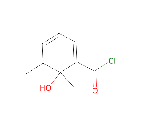 CC1C=CC=C(C(=O)Cl)C1(C)O